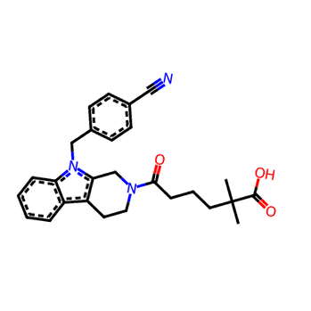 CC(C)(CCCC(=O)N1CCc2c(n(Cc3ccc(C#N)cc3)c3ccccc23)C1)C(=O)O